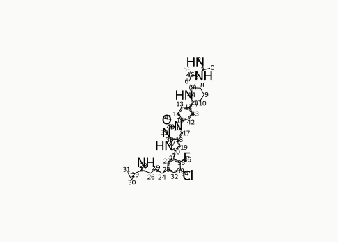 CC(=N)N[C@@H](C)C[C@@H]1CCC[C@@H](c2ccc(-n3cc4cc(-c5cc(CCCC(N)C6CC6)cc(Cl)c5F)[nH]c4nc3=O)cc2)N1